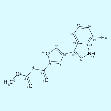 COC(=O)CC(=O)c1cc(-c2c[nH]c3c(F)cccc23)co1